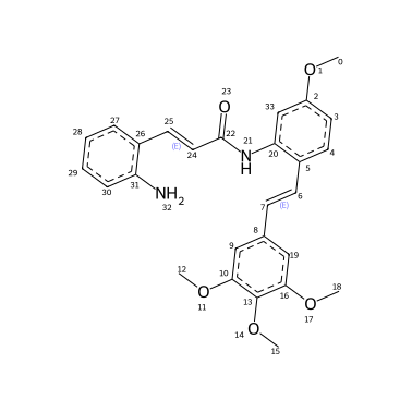 COc1ccc(/C=C/c2cc(OC)c(OC)c(OC)c2)c(NC(=O)/C=C/c2ccccc2N)c1